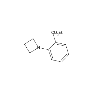 CCOC(=O)c1ccccc1N1CCC1